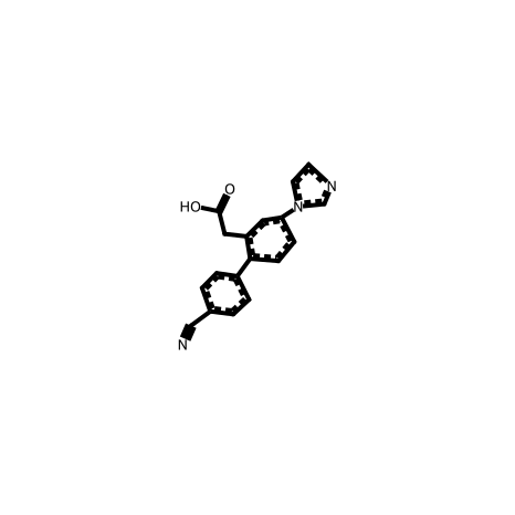 N#Cc1ccc(-c2ccc(-n3ccnc3)cc2CC(=O)O)cc1